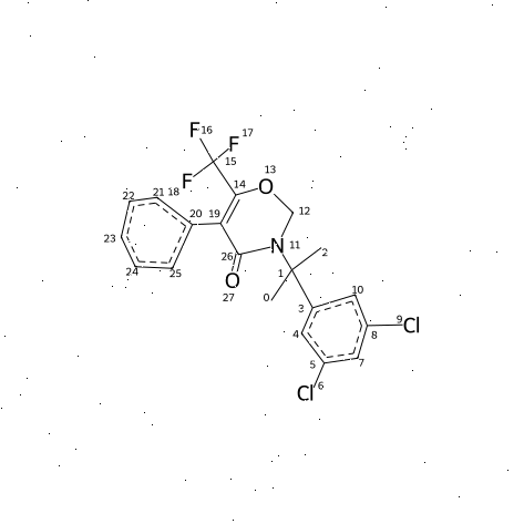 CC(C)(c1cc(Cl)cc(Cl)c1)N1COC(C(F)(F)F)=C(c2ccccc2)C1=O